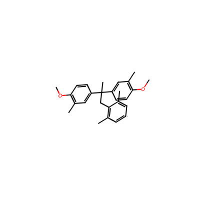 COc1ccc(C(C)(Cc2c(C)c[c]cc2C)c2ccc(OC)c(C)c2)cc1C